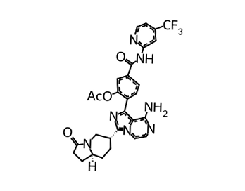 CC(=O)Oc1cc(C(=O)Nc2cc(C(F)(F)F)ccn2)ccc1-c1nc([C@@H]2CC[C@H]3CCC(=O)N3C2)n2ccnc(N)c12